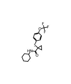 O=C(NC1CCCCC1)C1(Sc2ccc(OC(F)(F)F)cc2)CC1